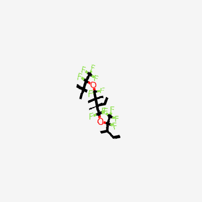 CCC(C)C(F)(OC(F)(F)[C@@](C)(CC)C(C)(C)C(F)(F)OC(F)(C(C)(C)C)C(F)(F)F)C(F)(F)F